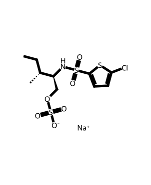 CC[C@@H](C)[C@H](COS(=O)(=O)[O-])NS(=O)(=O)c1ccc(Cl)s1.[Na+]